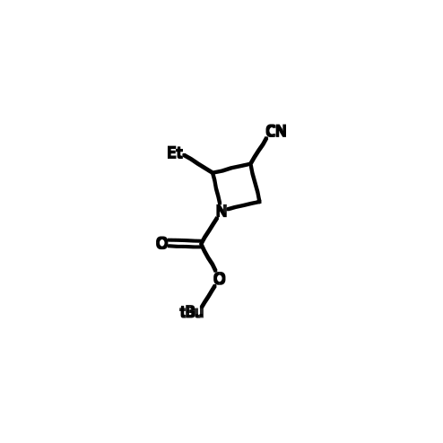 CCC1C(C#N)CN1C(=O)OC(C)(C)C